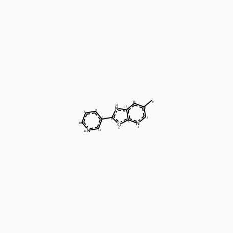 Cc1cnc2oc(-c3cccnc3)nc2c1